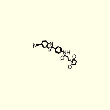 N#Cc1ccc2nc(-c3ccc(NC(=O)CCN4C(=O)CCC4=O)cc3)sc2c1